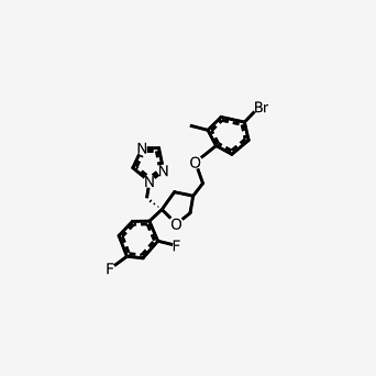 Cc1cc(Br)ccc1OCC1CO[C@@](Cn2cncn2)(c2ccc(F)cc2F)C1